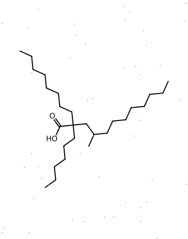 CCCCCCCCC(C)CC(CCCCCC)(CCCCCCCC)C(=O)O